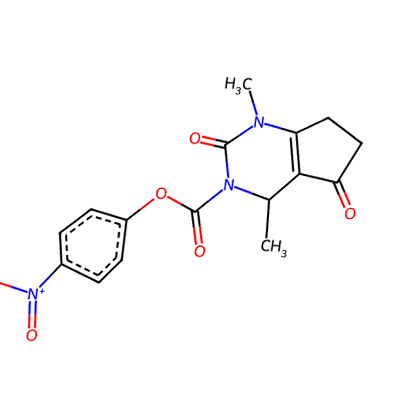 CC1C2=C(CCC2=O)N(C)C(=O)N1C(=O)Oc1ccc([N+](=O)[O-])cc1